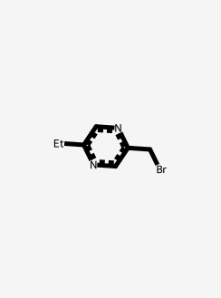 CCc1cnc(CBr)cn1